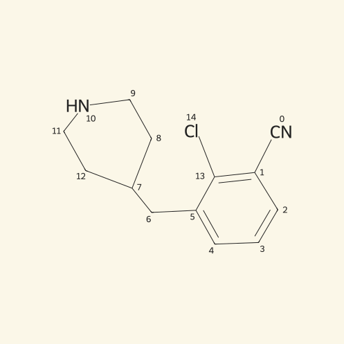 N#Cc1cccc(CC2CCNCC2)c1Cl